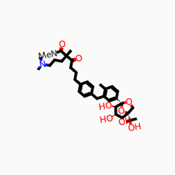 CNC(=O)C(C)(CCCN(C)C)C(=O)CCCc1ccc(Cc2cc([C@]34OC[C@](C(C)(C)O)(O3)[C@@H](O)[C@H](O)[C@H]4O)ccc2C)cc1